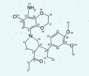 CCC(=O)C1CCN(c2cc(Cl)c(N)c3c2OCCO3)CC1C(CC)c1ccc(OC)c(OC)c1